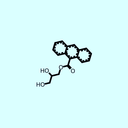 O=C(OCC(O)CO)c1c2ccccc2cc2ccccc12